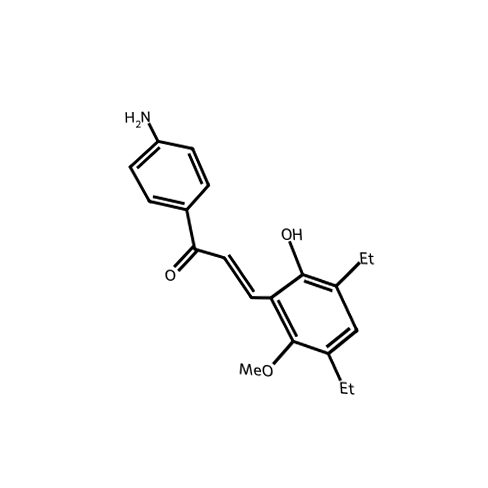 CCc1cc(CC)c(OC)c(/C=C/C(=O)c2ccc(N)cc2)c1O